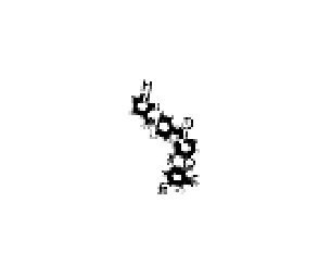 O=C(C1CCN(CC2CCNC2)CC1)N1CCC(Oc2c(F)cc(F)cc2F)CC1